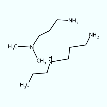 CCCNCCCN.CN(C)CCCN